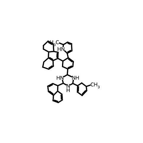 CC1C=CC=C(C2NC(C3=CC=C(C4=CC=CC(C)N4)C(C4=CC5C=CCCC5C5=C4C=CCC5)C3)NC(C3C=CC=C4C=CC=CC43)N2)C1